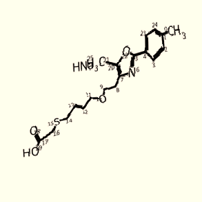 Cc1ccc(-c2nc(CCOC/C=C/CSCC(=O)O)c(C)o2)cc1.[NaH]